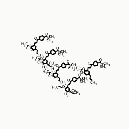 C=CC(C)(C)c1ccc(OCCC)c(C=CC(=O)c2ccc(C(=O)N(C)C)cc2)c1.C=CCc1ccc(OC(C)C)c(C=CC(=O)c2ccc(C(=O)N(C)C)cc2)c1.CC=CCc1ccc(OC(C)C)c(C=CC(=O)c2ccc(C(=O)N(C)C)cc2)c1.CCC(C)(C)c1ccc(OC(C)C)c(C=CC(=O)c2ccc(C(=O)N(C)C)cc2)c1.CCCc1ccc(OC(C)C)c(C=CC(=O)c2ccc(C(=O)N(C)C)cc2)c1